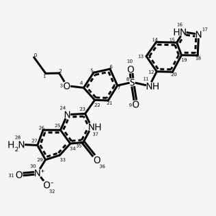 CCCOc1ccc(S(=O)(=O)Nc2ccc3[nH]ncc3c2)cc1-c1nc2cc(N)c([N+](=O)[O-])cc2c(=O)[nH]1